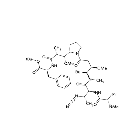 CC[C@H](C)[C@@H]([C@@H](CC(=O)N1CCC[C@H]1[C@H](OC)[C@@H](C)C(=O)N[C@@H](Cc1ccccc1)C(=O)OC(C)(C)C)OC)N(C)C(=O)[C@@H](NC(=O)[C@@H](NC)C(C)C)[C@H](C)N=[N+]=[N-]